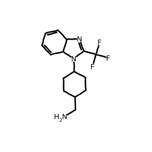 NCC1CCC(N2C(C(F)(F)F)=NC3C=CC=CC32)CC1